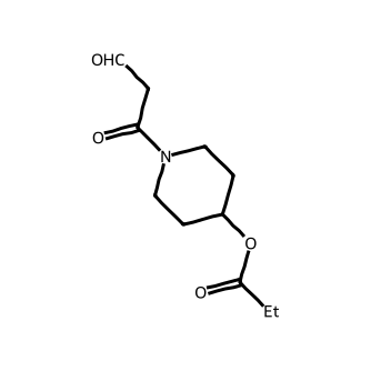 CCC(=O)OC1CCN(C(=O)CC=O)CC1